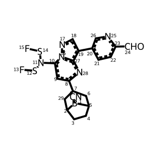 N#CB1C2CCC1CC(c1cc(N(SF)SF)n3ncc(-c4ccc(C=O)nc4)c3n1)C2